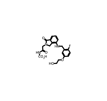 O=C(O)NC(=O)CN1Cc2c(NCc3cc(OCCO)ccc3F)cccc2C1=O